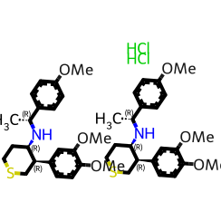 COc1ccc([C@@H](C)N[C@@H]2CCSC[C@@H]2c2ccc(OC)c(OC)c2)cc1.COc1ccc([C@@H](C)N[C@@H]2CCSC[C@@H]2c2ccc(OC)c(OC)c2)cc1.Cl.Cl